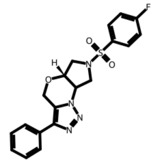 O=S(=O)(c1ccc(F)cc1)N1CC2[C@@H](C1)OCc1c(-c3ccccc3)nnn12